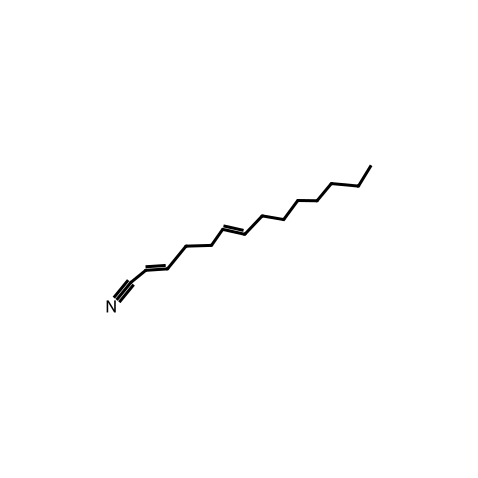 CCCCCCCC=CCCC=CC#N